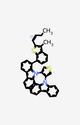 CC/C=C\c1sc2c(-c3cccc4c5ccccc5n(-c5cscc5-n5c6ccccc6c6ccccc65)c34)cccc2c1C